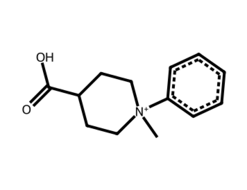 C[N+]1(c2ccccc2)CCC(C(=O)O)CC1